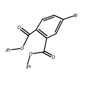 CC(C)OC(=O)c1ccc(Br)cc1C(=O)OC(C)C